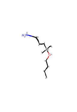 CCCCO[Si](C)(C)CCCN